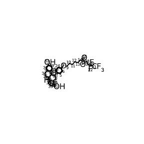 C[C@]12C[C@H](c3ccc(OCCCCCCS(=O)(=O)CCC(F)(F)C(F)(F)F)cc3)[C@@H]3c4ccc(O)cc4CC[C@H]3[C@@H]1CC[C@@H]2O